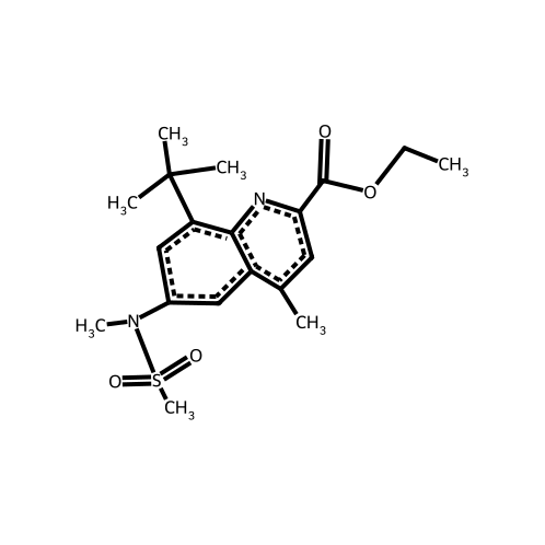 CCOC(=O)c1cc(C)c2cc(N(C)S(C)(=O)=O)cc(C(C)(C)C)c2n1